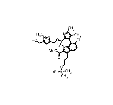 COC(=O)c1c(CCCO[Si](C)(C)C(C)(C)C)c2ccc(Cl)c(-c3c(COCc4cc(CO)n(C)n4)nn(C)c3C)c2n1C